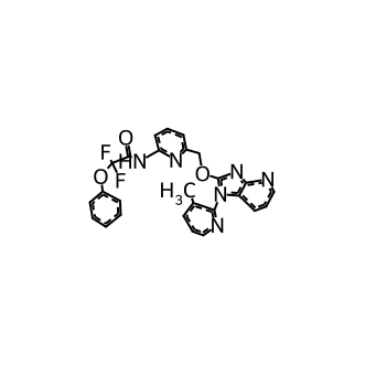 Cc1cccnc1-n1c(OCc2cccc(NC(=O)C(F)(F)Oc3ccccc3)n2)nc2ncccc21